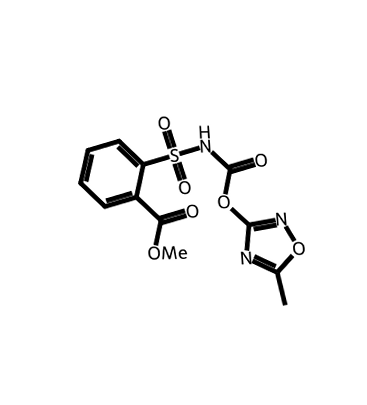 COC(=O)c1ccccc1S(=O)(=O)NC(=O)Oc1noc(C)n1